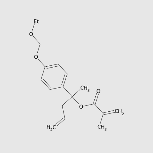 C=CCC(C)(OC(=O)C(=C)C)c1ccc(OCOCC)cc1